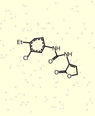 CCc1ccc(NC(=O)NC2=CCOC2=O)cc1Cl